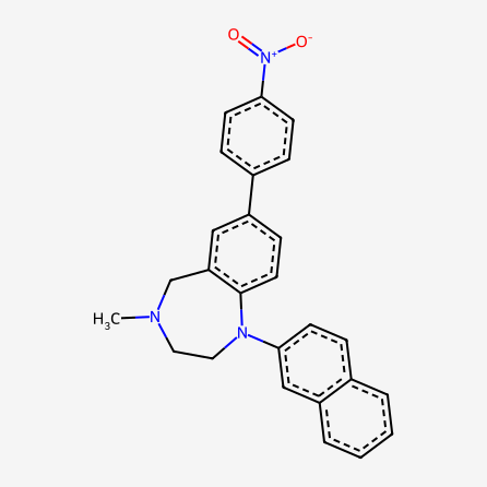 CN1CCN(c2ccc3ccccc3c2)c2ccc(-c3ccc([N+](=O)[O-])cc3)cc2C1